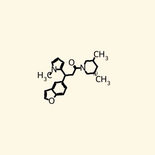 CC1C[C@H](C)CN(C(=O)CC(c2ccc3occc3c2)c2cccn2C)C1